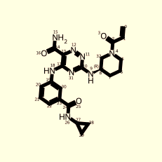 C=CC(=O)N1CCC[C@@H](Nc2nnc(C(N)=O)c(Nc3cccc(C(=O)NC4CC4)c3)n2)C1